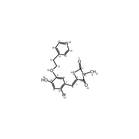 CN1C(=O)S/C(=C\c2cc(OCCc3ccncc3)c(O)cc2Br)C1=O